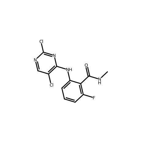 CNC(=O)c1c(F)cccc1Nc1nc(Cl)ncc1Cl